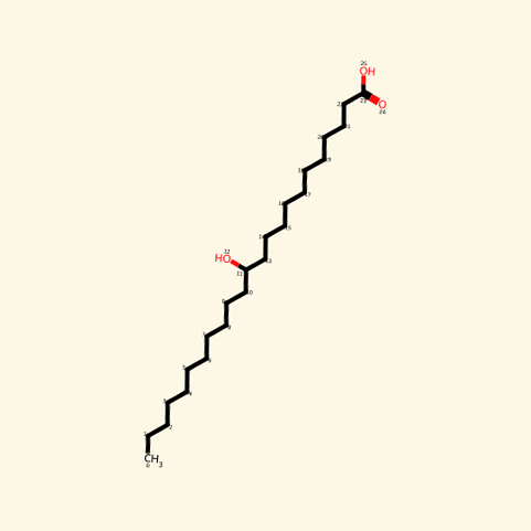 CCCCCCCCCCCC(O)CCCCCCCCCCC(=O)O